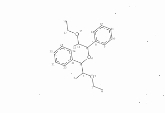 CCOC(C)C(OC(c1ccccc1)C(C)OCC)c1ccccc1